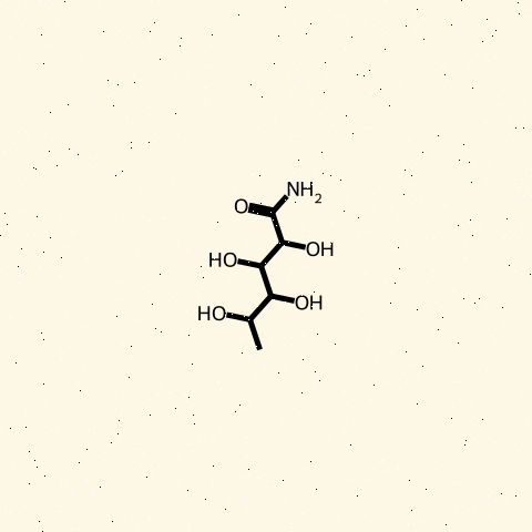 CC(O)C(O)C(O)C(O)C(N)=O